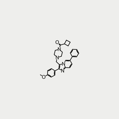 COc1ccc(-c2nc3ccc(-c4ccccc4)cn3c2CN2CCN(C(=O)C3CCC3)CC2)cc1